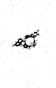 C[C@@H]1[C@@H](C)CCC[C@](O)(CN2CCN(C)C(=O)C2)[C@@H]2CC[C@H]2CN2C[C@@]3(CCCc4cc(Cl)ccc43)COc3ccc(cc32)C(=O)NS1(=O)=O